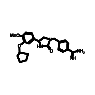 COc1ccc(C2CN(Cc3ccc(C(=N)N)cc3)C(=O)N2)cc1OC1CCCC1